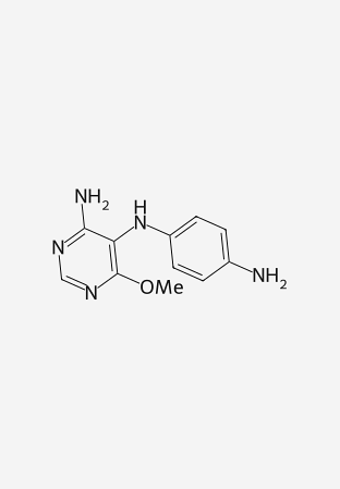 COc1ncnc(N)c1Nc1ccc(N)cc1